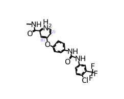 C=C(/C=C(\C=C/N)Oc1ccc(NC(=O)Nc2ccc(Cl)c(C(F)(F)F)c2)cc1)C(=O)NC